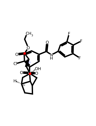 CCOC(=O)/C=C/[C@@]1(O)CC2CC[C@@H](C1)C2S(=O)(=O)c1cc(C(=O)Nc2cc(F)c(F)c(F)c2)ccc1Cl